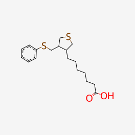 O=C(O)CCCCCCC1CSCC1CSc1ccccc1